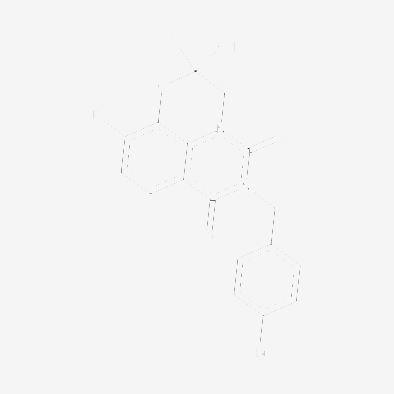 CC1(C)Cn2c(=O)n(Cc3ccc(Br)cc3)c(=O)c3ccc(F)c(c32)O1